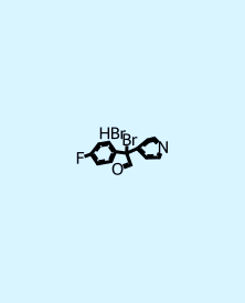 Br.O=CC(Br)(c1ccncc1)c1ccc(F)cc1